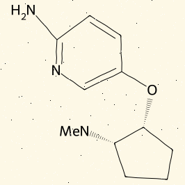 CN[C@H]1CCC[C@H]1Oc1ccc(N)nc1